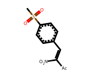 CC(=O)C(=Cc1ccc(S(C)(=O)=O)cc1)[N+](=O)[O-]